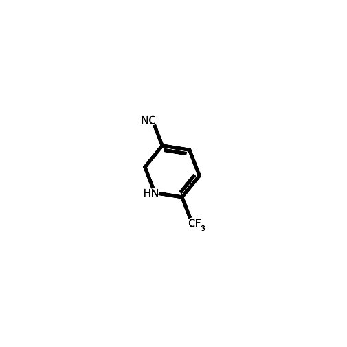 N#CC1=CC=C(C(F)(F)F)NC1